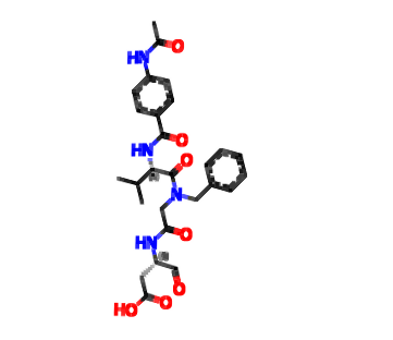 CC(=O)Nc1ccc(C(=O)N[C@H](C(=O)N(CC(=O)N[C@H](C=O)CC(=O)O)Cc2ccccc2)C(C)C)cc1